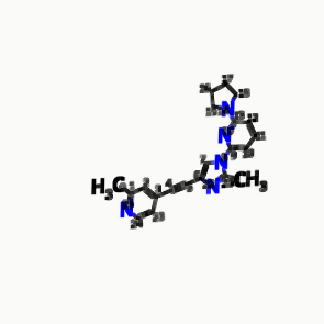 Cc1cc(C#Cc2cn(-c3cccc(N4CCCC4)n3)c(C)n2)ccn1